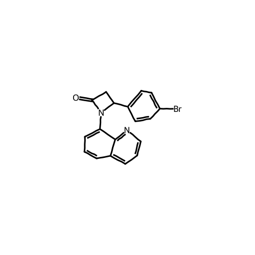 O=C1CC(c2ccc(Br)cc2)N1c1cccc2cccnc12